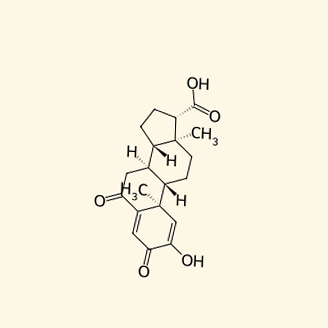 C[C@]12CC[C@H]3[C@@H](CC(=O)C4=CC(=O)C(O)=C[C@@]43C)[C@@H]1CC[C@@H]2C(=O)O